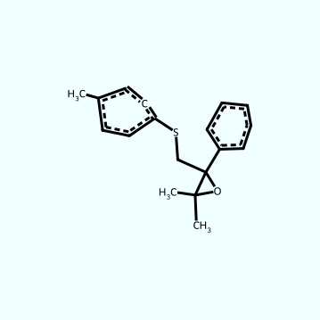 Cc1ccc(SCC2(c3ccccc3)OC2(C)C)cc1